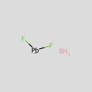 B.[F][Pb][F]